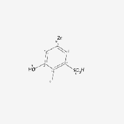 Cc1c(O)cccc1S(=O)(=O)O.[Zn]